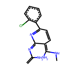 C=C(N)/N=C1/N=C(c2ccccc2Cl)C=C/C1=C(/N)NC